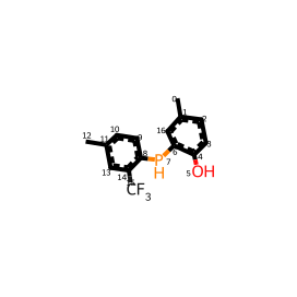 Cc1ccc(O)c(Pc2ccc(C)cc2C(F)(F)F)c1